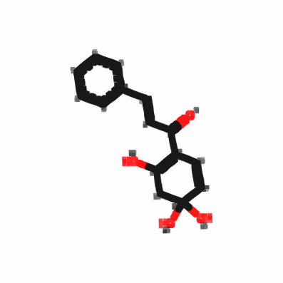 O=C(C=Cc1ccccc1)C1=C(O)CC(O)(O)C=C1